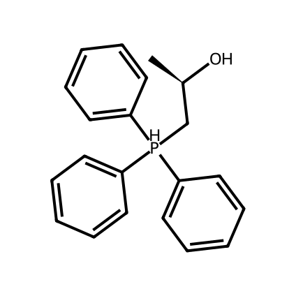 C[C@@H](O)C[PH](c1ccccc1)(c1ccccc1)c1ccccc1